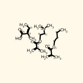 C=C(C)C(=O)OCCCC.C=C(C)C(=O)OCCN(C)C.CC=C(C)C(=O)O